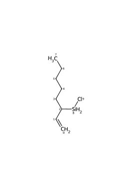 C=CC(CCCCC)[SiH2]Cl